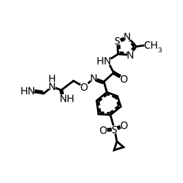 Cc1nsc(NC(=O)/C(=N/OCC(=N)NC=N)c2ccc(S(=O)(=O)C3CC3)cc2)n1